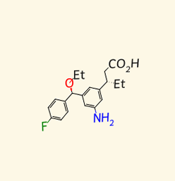 CCO[C@H](c1ccc(F)cc1)c1cc(N)cc([C@@H](CC)CC(=O)O)c1